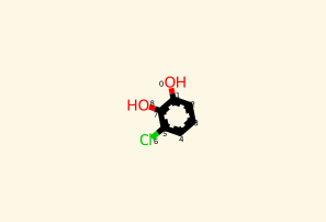 Oc1cccc(Cl)c1O